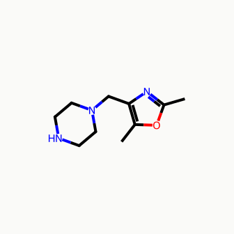 Cc1nc(CN2CCNCC2)c(C)o1